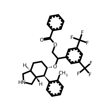 Cc1ccccc1[C@H]1[C@@H]2CNC[C@H]2CC[C@@H]1OC(COC(=O)c1ccccc1)c1cc(C(F)(F)F)cc(C(F)(F)F)c1